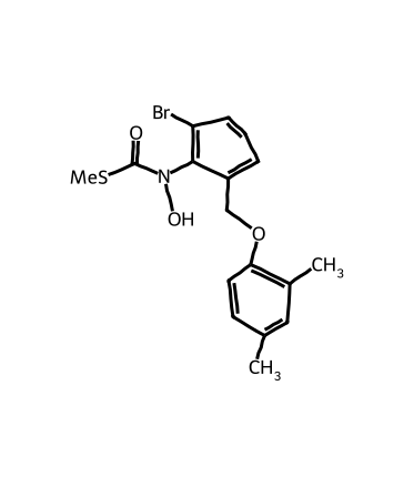 CSC(=O)N(O)c1c(Br)cccc1COc1ccc(C)cc1C